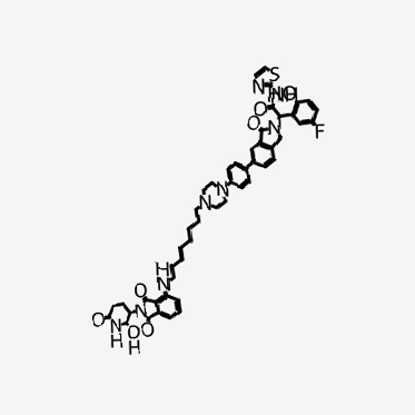 O=C1CCC(N2C(=O)c3cccc(NCCCCCCCCN4CCN(c5ccc(-c6ccc7c(c6)C(=O)N(C(C(=O)Nc6nccs6)c6cc(F)ccc6O)C7)cc5)CC4)c3C2=O)C(O)N1